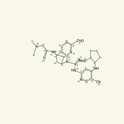 COC1CCCC1Nc1cc(NC(=O)N2c3nc(C=O)ccc3C3(NC(=O)CN(C)C)CC2C3)ncc1C#N